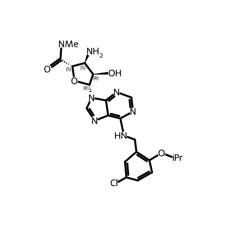 CNC(=O)[C@H]1O[C@@H](n2cnc3c(NCc4cc(Cl)ccc4OC(C)C)ncnc32)[C@H](O)[C@@H]1N